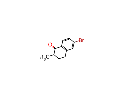 CC1CCc2cc(Br)ccc2C1=O